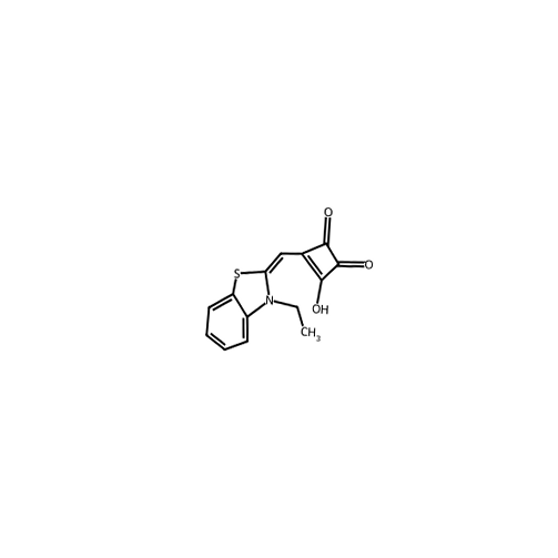 CCN1C(=Cc2c(O)c(=O)c2=O)Sc2ccccc21